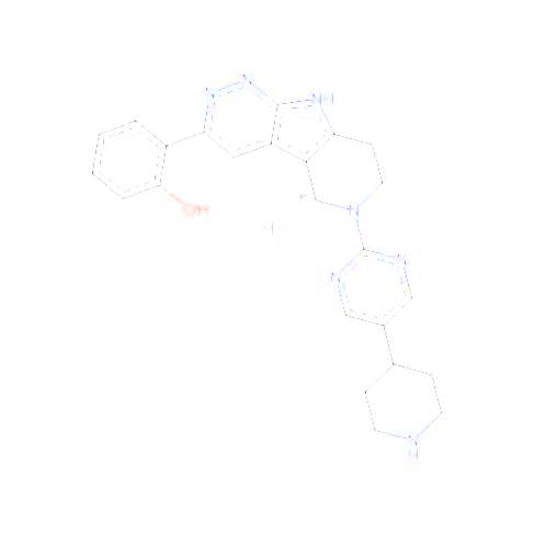 C[C@@H]1c2c([nH]c3nnc(-c4ccccc4O)cc23)CCN1c1ncc(C2CCNCC2)cn1